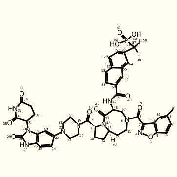 Cc1ccc2onc(C(=O)N3CC[C@H]4CC[C@@H](C(=O)N5CCN(c6ccc7[nH]c(=O)n(C8CCC(=O)NC8=O)c7c6)CC5)N4C(=O)[C@@H](NC(=O)c4ccc5ccc(C(F)(F)P(=O)(O)O)cc5c4)C3)c2c1